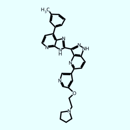 Cc1cccc(-c2ccnc3[nH]c(-c4n[nH]c5ccc(-c6cncc(OCCN7CCCC7)c6)nc45)nc23)c1